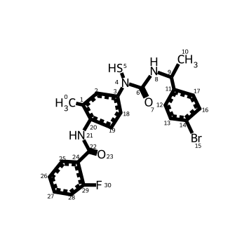 Cc1cc(N(S)C(=O)NC(C)c2ccc(Br)cc2)ccc1NC(=O)c1ccccc1F